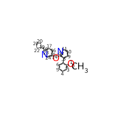 COc1ccccc1-c1cccnc1Oc1ccc(C2CCC2)nc1